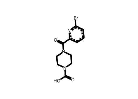 O=C(O)N1CCN(C(=O)c2cccc(Br)n2)CC1